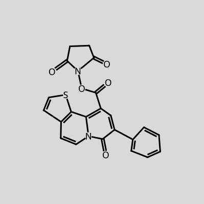 O=C(ON1C(=O)CCC1=O)c1cc(-c2ccccc2)c(=O)n2ccc3ccsc3c12